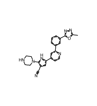 Cc1nnc(-c2cccc(-c3cc(-c4cc(C#N)c(N5CCNCC5)[nH]4)ccn3)c2)o1